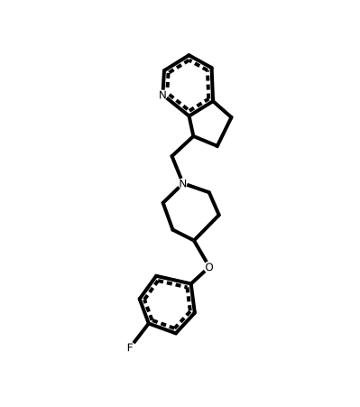 Fc1ccc(OC2CCN(CC3CCc4cccnc43)CC2)cc1